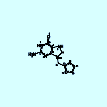 Nc1nc2c(c(=O)[nH]1)NCN2Cc1ccco1